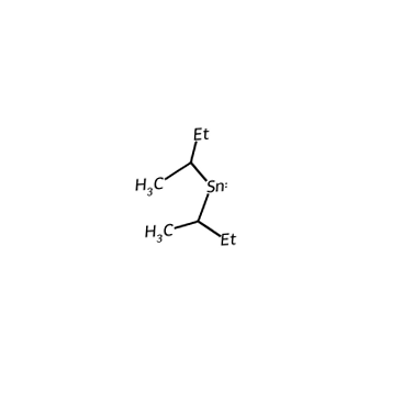 CC[CH](C)[Sn][CH](C)CC